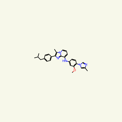 COc1cc(Nc2cccn3c(C)c(-c4ccc(CC(C)C)cc4)nc23)ccc1-n1cnc(C)c1